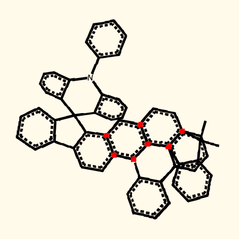 CC1(C)c2ccccc2-c2c(N(c3ccc4c(c3)C3(c5ccccc5-4)c4ccccc4N(c4ccccc4)c4ccccc43)c3ccccc3-c3ccccc3-c3ccccc3)cccc21